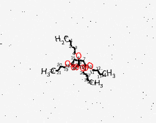 C=CCCCOC(CC(=O)OCCCC)(CC(=O)OCCCC)C(=O)OCCCC